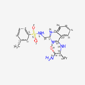 Cc1cccc(S(=O)(=O)NCc2nc(N[C@H](C(N)=O)C(C)C)c3ccccc3n2)c1